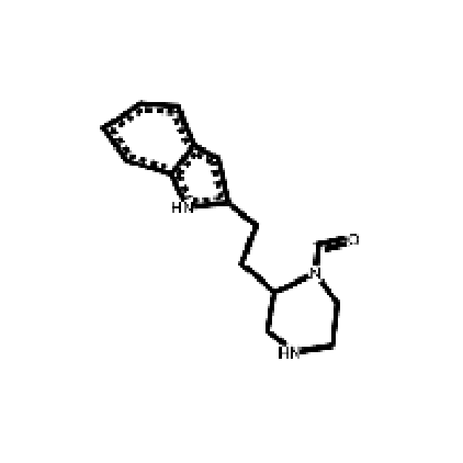 O=[C]N1CCNCC1CCc1cc2ccccc2[nH]1